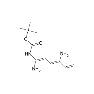 C=C/C(N)=C/C=C(\N)NC(=O)OC(C)(C)C